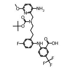 COc1ccc(N)c(CN(CCCc2cc(F)ccc2Nc2ccc(C(F)(F)F)cc2C(=O)O)C(=O)OC(C)(C)C)n1